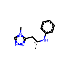 C[C@H](Cc1nncn1C)Nc1ccccc1